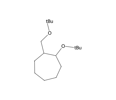 CC(C)(C)OCC1CCCCCC1OC(C)(C)C